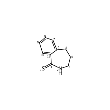 S=C1NCCCc2ccccc21